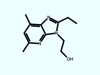 CCc1nc2c(C)cc(C)nc2n1CCO